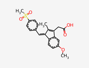 COc1ccc2c(c1)C(CC(=O)O)=C(C)C2=Cc1ccc(S(C)(=O)=O)cc1